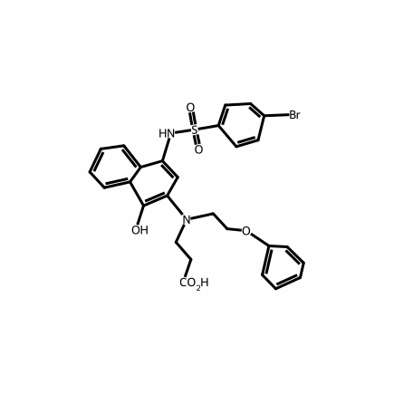 O=C(O)CCN(CCOc1ccccc1)c1cc(NS(=O)(=O)c2ccc(Br)cc2)c2ccccc2c1O